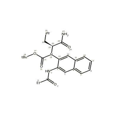 CCC(=O)Nc1cc2ccccc2cc1N(C(=O)OC(C)(C)C)[C@@H](CC(C)C)C(N)=O